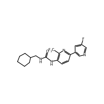 O=C(NCC1CCCCC1)Nc1ccc(-c2cncc(F)c2)nc1C(F)(F)F